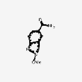 COn1cc2cc(C(N)=O)ccc2n1